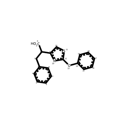 O=C(O)C(Cc1ccccc1)c1csc(Oc2ccccc2)n1